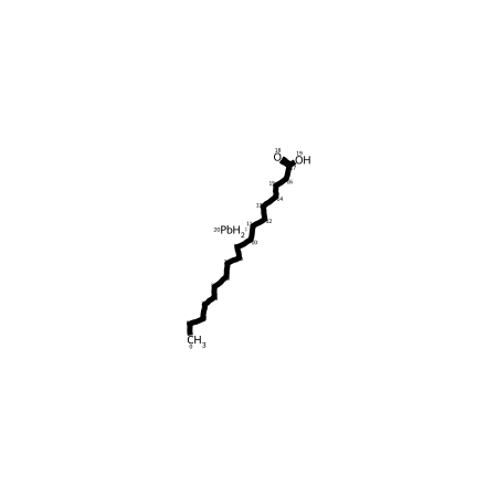 CCCCCCCCCCCCCCCCCC(=O)O.[PbH2]